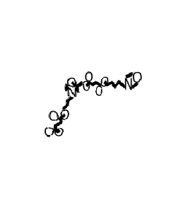 COC(=O)/C=C/C(=O)OCCCCN1CCOC(COC(=O)/C=C/C(=O)OCCCCCN2CCOCC2)C1